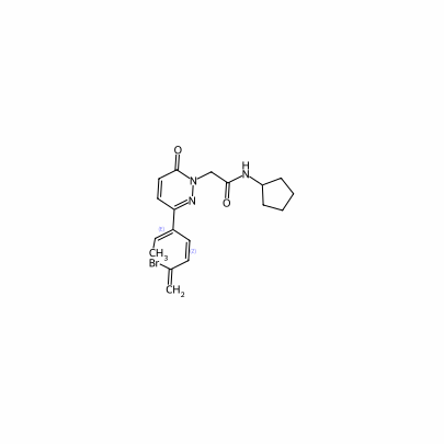 C=C(Br)/C=C\C(=C/C)c1ccc(=O)n(CC(=O)NC2CCCC2)n1